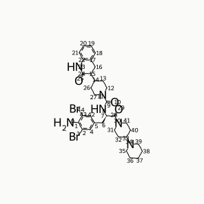 Nc1c(Br)cc(C[C@@H](NC(=O)N2CCC(C3Cc4ccccc4NC3=O)CC2)C(=O)N2CCC(N3CCCCC3)CC2)cc1Br